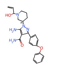 C=CC(O)N1CCC[C@@H](n2nc(-c3ccc(Oc4ccccc4)cc3)c(C(N)=O)c2N)C1